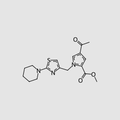 COC(=O)c1cc(C(C)=O)cn1Cc1csc(N2CCCCC2)n1